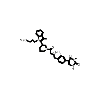 COCCCn1c(C2CCCN(C(=O)C[C@H](N)Cc3ccc(-c4c[nH]c(=O)n(C)c4=O)cc3)C2)c(C)c2ccccc21